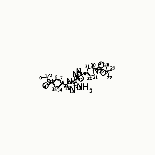 CC(C)[S+]([O-])c1ccc(-c2cnc(N)c(-c3nnc(C4=CCN(C(=O)OC(C)(C)C)CC4)o3)n2)cc1